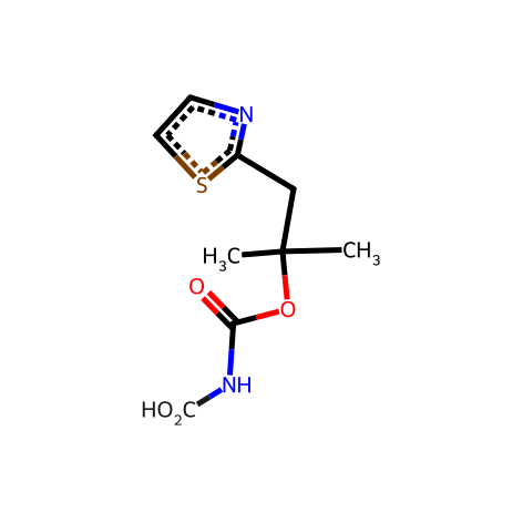 CC(C)(Cc1nccs1)OC(=O)NC(=O)O